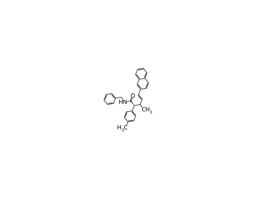 Cc1ccc([C@@H](C(=O)NCc2ccccc2)[C@H](C)/C=C/c2ccc3ccccc3c2)cc1